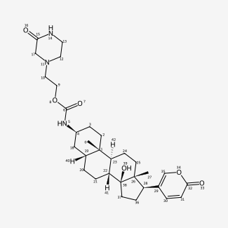 C[C@]12CC[C@H](NC(=O)OCCN3CCNC(=O)C3)C[C@H]1CC[C@@H]1[C@@H]2CC[C@]2(C)[C@@H](c3ccc(=O)oc3)CC[C@]12O